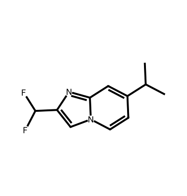 CC(C)c1ccn2cc(C(F)F)nc2c1